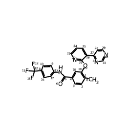 Cc1ccc(C(=O)Nc2ccc(C(F)(F)F)cc2)cc1Oc1ncccc1-c1ccncn1